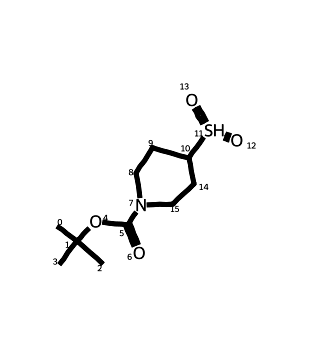 CC(C)(C)OC(=O)N1CCC([SH](=O)=O)CC1